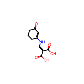 O=C1C=C(NC=C(C(=O)O)C(=O)O)CCC1